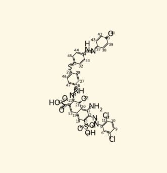 Nc1c(N=Nc2cc(Cl)ccc2Cl)c(S(=O)(=O)O)cc2c1C(=O)C(=NNc1ccc(Sc3ccc(NN=C4C=CC(=O)C=C4)cc3)cc1)C(S(=O)(=O)O)=C2